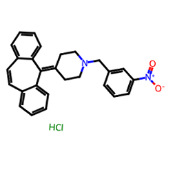 Cl.O=[N+]([O-])c1cccc(CN2CCC(=C3c4ccccc4C=Cc4ccccc43)CC2)c1